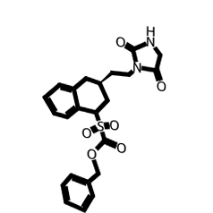 O=C1CNC(=O)N1CC[C@@H]1Cc2ccccc2C(S(=O)(=O)C(=O)OCc2ccccc2)C1